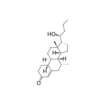 CCC[C@H](O)[C@@H]1CC[C@@H]2[C@H]3[C@H](CC[C@@]21C)[C@H]1CCC(=O)C=C1C[C@H]3C